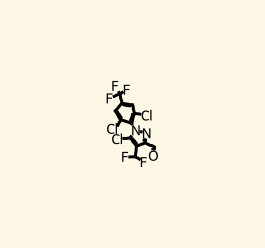 O=Cc1nn(-c2c(Cl)cc(C(F)(F)F)cc2Cl)c(Cl)c1C(F)F